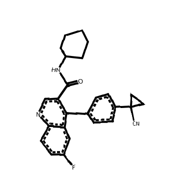 N#CC1(c2ccc(-c3c(C(=O)NC4CCCCC4)cnc4ccc(F)cc34)cc2)CC1